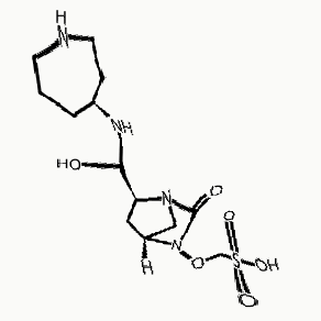 O=C1N2C[C@@H](C[C@H]2C(O)N[C@H]2CCCNCC2)N1OS(=O)(=O)O